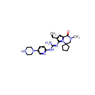 C=Cc1cc2n(c1/N=C(\N)Nc1ccc(N3CCNCC3)cn1)C1(CCCC1)CN(C)C2=O